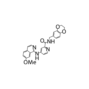 COc1ccc2ccnc(Nc3ccnc(C(=O)NCc4ccc5c(c4)OCCO5)c3)c2c1